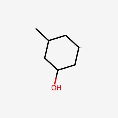 CC1C[CH]CC(O)C1